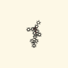 c1ccc(-c2ccc(N(c3ccc(-c4ccccc4)cc3)c3ccc(-c4ccccc4-n4c5cc(-c6ccccc6)ccc5c5ccc(-c6cccc7c6c6ccccc6n7-c6ccccc6)cc54)cc3)cc2)cc1